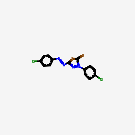 S=c1sc(N=Nc2ccc(Cl)cc2)nn1-c1ccc(Cl)cc1